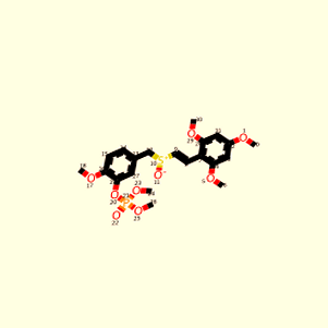 COc1cc(OC)c(C=C[S+]([O-])Cc2ccc(OC)c(OP(=O)(OC)OC)c2)c(OC)c1